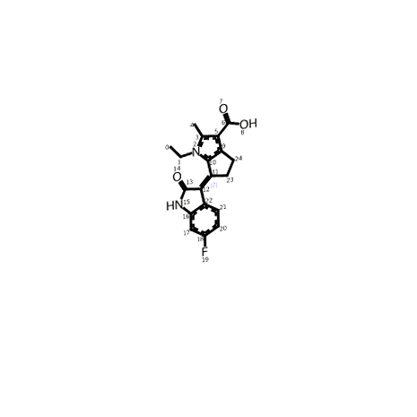 CCn1c(C)c(C(=O)O)c2c1/C(=C1\C(=O)Nc3cc(F)ccc31)CC2